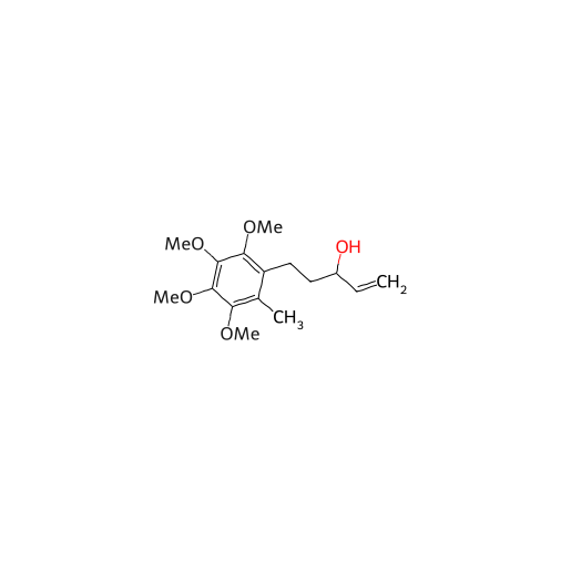 C=CC(O)CCc1c(C)c(OC)c(OC)c(OC)c1OC